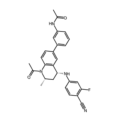 CC(=O)Nc1cccc(-c2ccc3c(c2)[C@H](Nc2ccc(C#N)c(F)c2)C[C@H](C)N3C(C)=O)c1